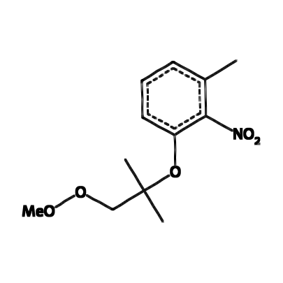 COOCC(C)(C)Oc1cccc(C)c1[N+](=O)[O-]